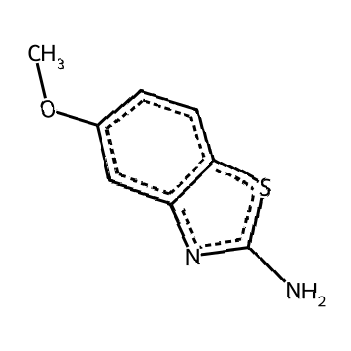 COc1ccc2sc(N)nc2c1